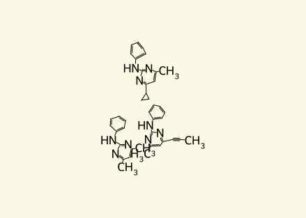 CC#Cc1cc(C)nc(Nc2ccccc2)n1.Cc1cc(C)nc(Nc2ccccc2)n1.Cc1cc(C2CC2)nc(Nc2ccccc2)n1